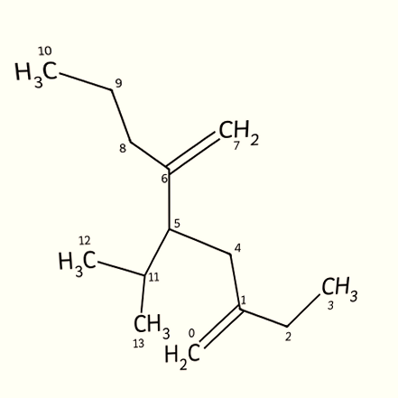 C=C(CC)CC(C(=C)CCC)C(C)C